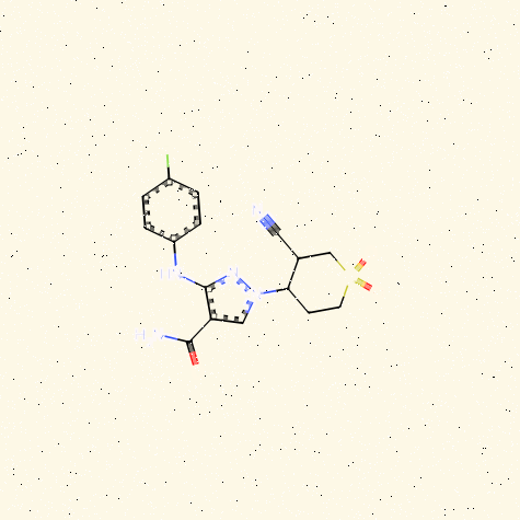 N#CC1CS(=O)(=O)CCC1n1cc(C(N)=O)c(Nc2ccc(F)cc2)n1